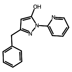 Oc1cc(Cc2ccccc2)nn1-c1ccccn1